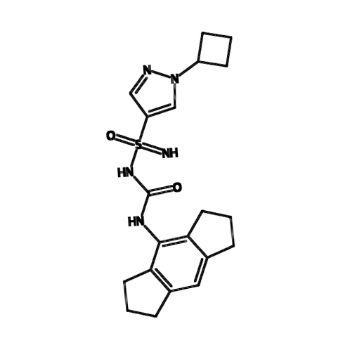 N=S(=O)(NC(=O)Nc1c2c(cc3c1CCC3)CCC2)c1cnn(C2CCC2)c1